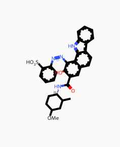 COC1CC[C@H](NC(=O)c2cc3ccc4c5ccccc5[nH]c4c3c(/N=N\c3ccccc3S(=O)(=O)O)c2O)C(C)C1